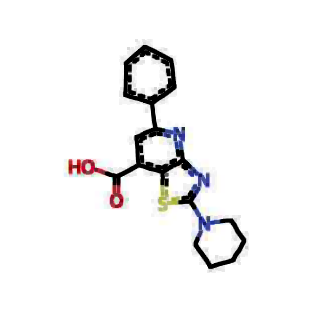 O=C(O)c1cc(-c2ccccc2)nc2nc(N3CCCCC3)sc12